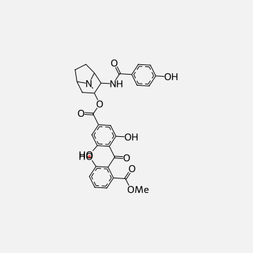 COC(=O)c1cccc(O)c1C(=O)c1c(O)cc(C(=O)OC2CC3CCC(C2NC(=O)c2ccc(O)cc2)N3C)cc1O